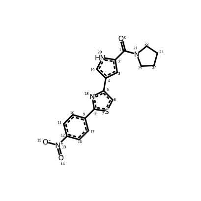 O=C(c1cc(-c2csc(-c3ccc([N+](=O)[O-])cc3)n2)c[nH]1)N1CCCC1